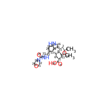 CCCC(c1ccc(C(=O)O)cc1OC)c1c[nH]c2ccc(CCNC(=O)N3CCOCC3)cc12